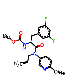 C=CCN(C(=O)[C@H](Cc1cc(F)cc(F)c1)NC(=O)OC(C)(C)C)c1ccc(OC)nc1